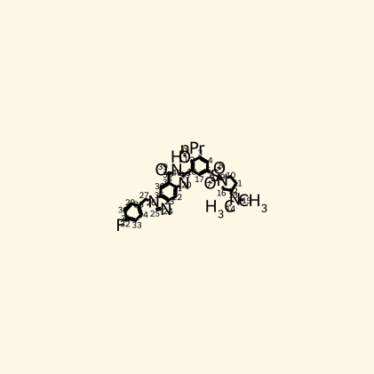 CCCOc1ccc(S(=O)(=O)N2CCC(N(C)C)C2)cc1-c1nc2cc3ncn(Cc4ccc(F)cc4)c3cc2c(=O)[nH]1